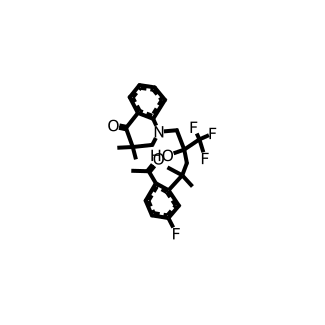 CC(=O)c1ccc(F)cc1C(C)(C)CC(O)(CN1CC(C)(C)C(=O)c2ccccc21)C(F)(F)F